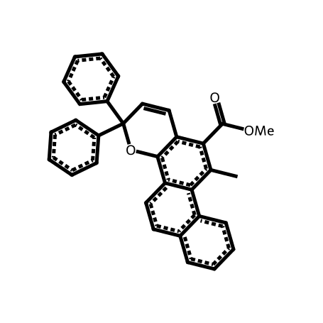 COC(=O)c1c2c(c3ccc4ccccc4c3c1C)OC(c1ccccc1)(c1ccccc1)C=C2